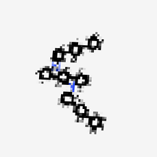 c1ccc(-c2ccc(-c3cccc(-n4c5ccccc5c5cc6c(cc54)c4ccccc4n6-c4cccc(-c5ccc(-c6ccccc6)cc5)c4)c3)cc2)cc1